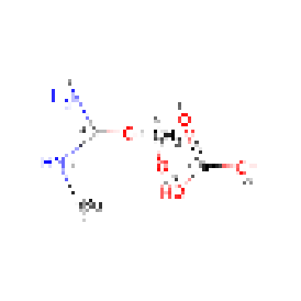 C=O.CCCCNC(N)=O.O=[Si](O)O